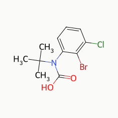 CC(C)(C)N(C(=O)O)c1cccc(Cl)c1Br